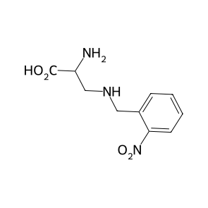 NC(CNCc1ccccc1[N+](=O)[O-])C(=O)O